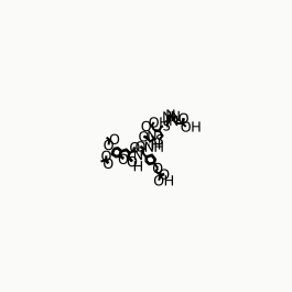 CC(=O)Oc1cc2cc(C(=O)NC(C(=O)N[C@@H]3C(=O)N4C(C(=O)O)=C(CSc5nnnn5CC(=O)O)CS[C@H]34)c3ccc(OCC(=O)O)cc3)c(=O)oc2cc1OC(C)=O